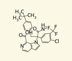 CC(C)(C)c1ccc(CC(C(N)=O)(c2ccc(Cl)c(C(F)(F)F)c2)n2ccc3ccnc(C(=O)O)c32)cc1